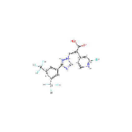 O=C(O)/C(=C/n1cnc(-c2cc(C(F)(F)F)cc(C(F)(F)F)c2)n1)c1ccnc(F)c1